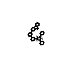 CC1(C)c2ccccc2-c2ccc(-c3cccc(-c4cccc(-c5nc(C6=CC=CCC6)nc(-c6ccccc6)n5)c4)c3)cc21